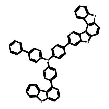 c1ccc(-c2ccc(N(c3ccc(-c4ccc5c(c4)oc4ccc6oc7ccccc7c6c45)cc3)c3ccc(-c4cccc5sc6ccccc6c45)cc3)cc2)cc1